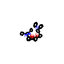 c1ccc(-c2cc(-c3ccccc3)nc(-c3cccc4c3oc3c4ccc4c5cccc(-c6ccc7c(c6)c6ccccc6n7-c6ccccc6)c5oc43)n2)cc1